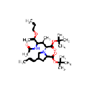 C=CCOC(=C)C(NC(C)=O)[C@@H](C)[C@H](C(=O)OC(C)(C)C)N1CC(C=CC)CC1C(=O)OC(C)(C)C